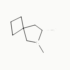 CC(C)[C@H]1CC2(CCC2)CN1C